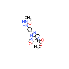 CCNC(=O)Nc1ccc(-c2nc3c(c(N4CCOCC4C)n2)CN(C(=O)COC)CC3)cc1